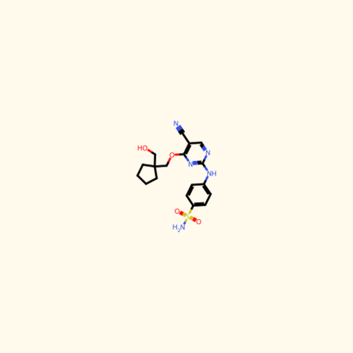 N#Cc1cnc(Nc2ccc(S(N)(=O)=O)cc2)nc1OCC1(CO)CCCC1